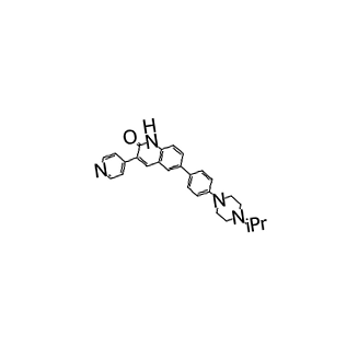 CC(C)N1CCN(c2ccc(-c3ccc4[nH]c(=O)c(-c5ccncc5)cc4c3)cc2)CC1